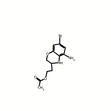 CC(=O)OCCC1COc2cc(Br)cc(N)c2N1